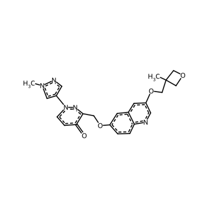 Cn1cc(-n2ccc(=O)c(COc3ccc4ncc(OCC5(C)COC5)cc4c3)n2)cn1